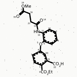 CCOC(=O)c1ccc(Oc2ccccc2NC(=O)CCC(=O)OC)cc1C(=O)O